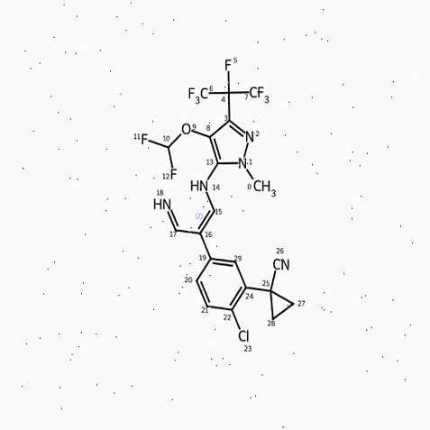 Cn1nc(C(F)(C(F)(F)F)C(F)(F)F)c(OC(F)F)c1N/C=C(\C=N)c1ccc(Cl)c(C2(C#N)CC2)c1